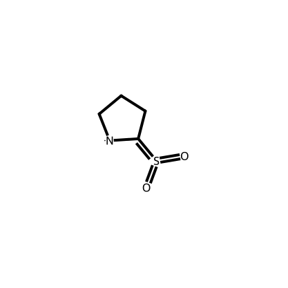 O=S(=O)=C1CCC[N]1